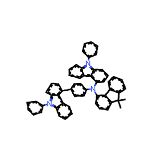 CC1(C)c2ccccc2-c2c(N(c3ccc(-c4cccc5c4c4ccccc4n5-c4ccccc4)cc3)c3cccc4c3c3ccccc3n4-c3ccccc3)cccc21